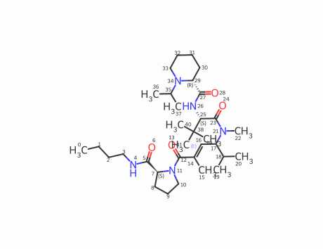 CCCCNC(=O)[C@@H]1CCCN1C(=O)/C(C)=C/C(C(C)C)N(C)C(=O)[C@@H](NC(=O)[C@H]1CCCCN1C(C)C)C(C)(C)C